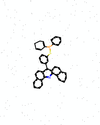 C1=CC(P(Sc2cccc(-c3c4ccc5ccccc5c4nc4c3ccc3ccccc34)c2)c2ccccc2)=CCC1